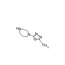 Cc1nnc(N2CCCNCC2)o1